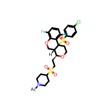 CC(=O)N1CCC(S(=O)(=O)CC[C@@H]2OCC[C@@]3(S(=O)(=O)c4ccc(Cl)cc4)c4c(F)ccc(F)c4OC[C@@H]23)CC1